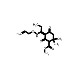 C=CCONC(CC)=C1C(=O)CC(C)(C)C(C(=O)OC)C1=O